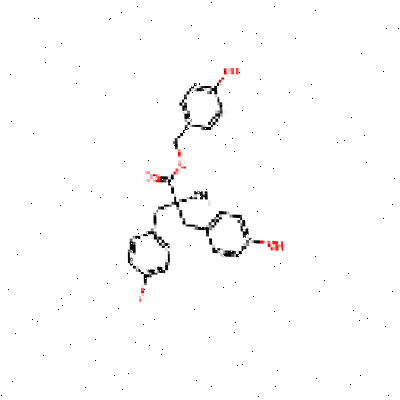 CC(Cc1ccc(O)cc1)(Cc1ccc(O)cc1)C(=O)OCc1ccc(O)cc1